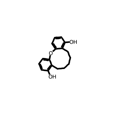 Oc1cccc2c1CCCCCc1c(O)cccc1O2